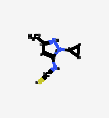 Cc1cc(N=C=S)n(C2CC2)n1